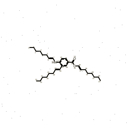 CCCCCCC=CNc1ccc(C(=O)OC=CCCCCCC)cc1C=CCCCCCC